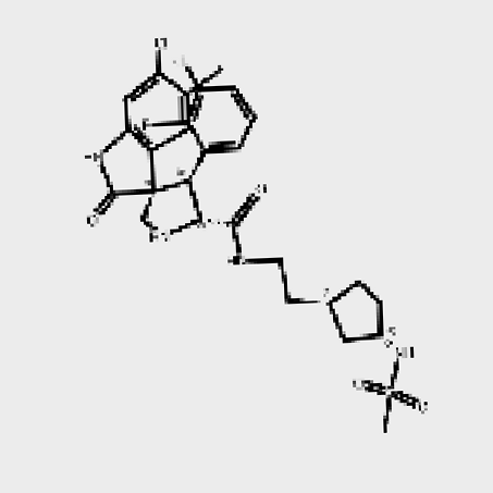 CS(=O)(=O)N[C@H]1CC[C@H](CCNC(=O)[C@@H]2NC[C@]3(C(=O)Nc4cc(Cl)c(F)cc43)[C@H]2c2cccc(Cl)c2F)C1